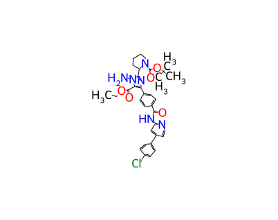 CCOC(=O)c1c(-c2ccc(C(=O)Nc3cc(-c4ccc(Cl)cc4)ccn3)cc2)nc(C2CCCCN2C(=O)OC(C)(C)C)n1N